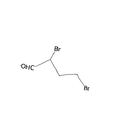 O=[C]C(Br)CCBr